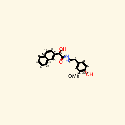 COc1cc(CCNC(=O)C(O)c2ccc3ccccc3c2)ccc1O